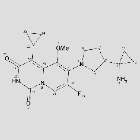 COc1c(N2CCC(C3(N)CC3)C2)c(F)cn2c(=O)[nH]c(=O)c(C3CC3)c12